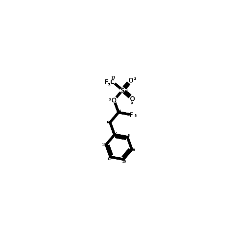 O=S(=O)(OC(F)Cc1ccccc1)C(F)(F)F